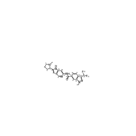 CN1CCC[C@@H]1c1cc2cnc(NC(=O)c3ccc4c(C(F)F)nn(C)c4c3)cc2[nH]1